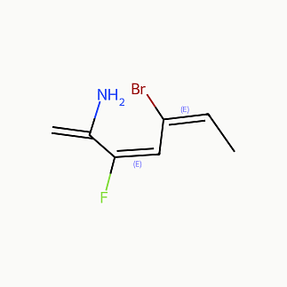 C=C(N)/C(F)=C\C(Br)=C/C